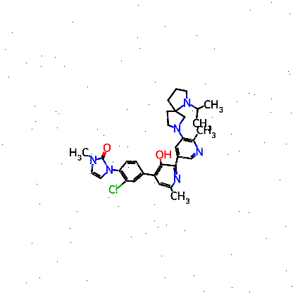 Cc1cc(-c2ccc(-n3ccn(C)c3=O)c(Cl)c2)c(O)c(-c2cnc(C)c(N3CCC4(CCCN4C(C)C)C3)c2)n1